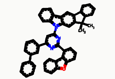 CC1(C)c2ccccc2-c2cc3c4ccccc4n(-c4cc(-c5cccc(-c6ccccc6)c5)nc(-c5cccc6oc7ccccc7c56)n4)c3cc21